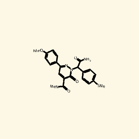 CNC(=O)c1cc(-c2ccc(OC)cc2)nn(C(C(N)=O)c2ccc(SC)cc2)c1=O